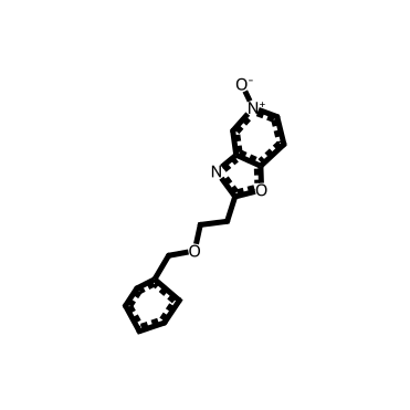 [O-][n+]1ccc2oc(CCOCc3ccccc3)nc2c1